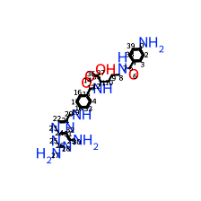 Nc1ccc(C(=O)NCCCC(NC(=O)c2ccc(NCc3cnc4nc(N)nc(N)c4n3)cc2)C(=O)O)cc1